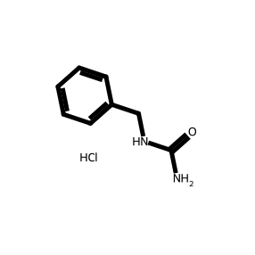 Cl.NC(=O)NCc1ccccc1